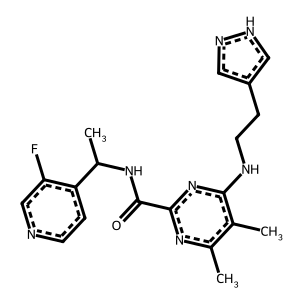 Cc1nc(C(=O)NC(C)c2ccncc2F)nc(NCCc2cn[nH]c2)c1C